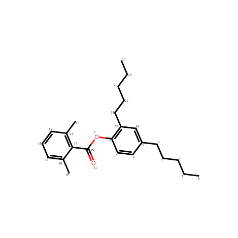 CCCCCc1ccc(OC(=O)c2c(C)cccc2C)c(CCCCC)c1